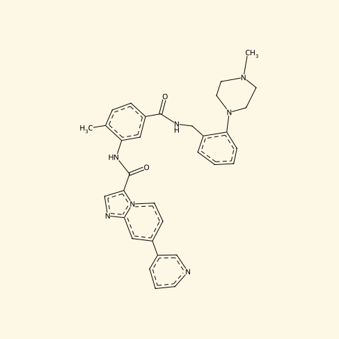 Cc1ccc(C(=O)NCc2ccccc2N2CCN(C)CC2)cc1NC(=O)c1cnc2cc(-c3cccnc3)ccn12